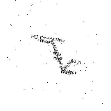 CCCCCCCC(CCCCCCCC(=O)O)C(CCCCCCC)CCCCCCCC(=O)NCCNC(=O)CCCCCCCC(CCCCCCC)C(CCCCCCC)CCCCCCCC(=O)O